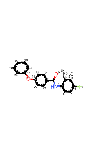 O=C(Nc1ccc(F)cc1C(=O)O)c1ccc(Oc2ccccc2)cc1